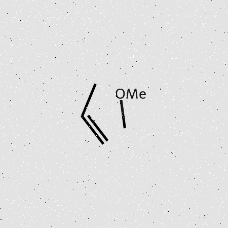 C=CC.COC